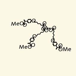 C=C(C(=O)OC)c1ccc(OCCCCCC(=O)OCC(COC(=O)CCCCCOc2ccc(C(=C)C(=O)OC)cc2)OC(=O)CCCCCOc2ccc(C(=C)C(=O)OC)cc2)cc1